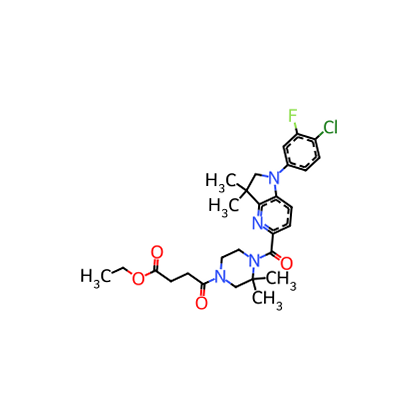 CCOC(=O)CCC(=O)N1CCN(C(=O)c2ccc3c(n2)C(C)(C)CN3c2ccc(Cl)c(F)c2)C(C)(C)C1